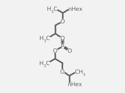 CCCCCCC(C)OCC(C)O[PH](=O)OC(C)COC(C)CCCCCC